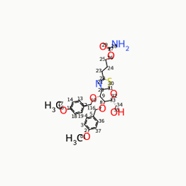 COc1ccc(CO[C@H]2[C@H](OCc3ccc(OC)cc3)C3N=C(CCCOC(N)=O)SC3O[C@@H]2CO)cc1